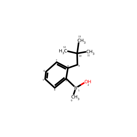 CB(O)c1ccccc1CC(C)(C)C